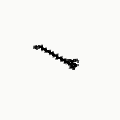 CCCCCCCCCCCCCCCCC[N+]1(C(C)O)C=NCC1